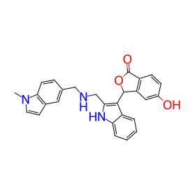 Cn1ccc2cc(CNCc3[nH]c4ccccc4c3C3OC(=O)c4ccc(O)cc43)ccc21